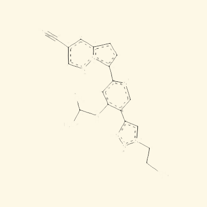 CCCn1cc(-c2cnc(-c3ccc4cc(C#N)cnn34)cc2NC(C)C)nn1